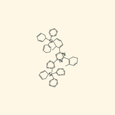 CC1=C(c2nc(C3=CC=CC([Si](C4=CCCC=C4)(c4ccccc4)C4C=CC=CC4)C3C)cc(-c3cccc([Si](c4ccccc4)(c4ccccc4)C4C=CC=CC4)c3)n2)CCC=C1